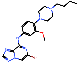 CCCCN1CCN(c2ccc(Nc3nc(Br)cn4ncnc34)cc2OC)CC1